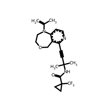 C=C(C)N1CCOCc2c1ccnc2C#CC(C)(C)NC(=O)C1(C(F)(F)F)CC1